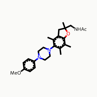 COc1ccc(N2CCN(c3c(C)c(C)c4c(c3C)CC(C)(CNC(C)=O)O4)CC2)cc1